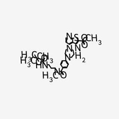 COC(=O)c1sc2nccc(N3CCCN(c4ccc(C(=O)N(C)CCCNC(=O)OC(C)(C)C)cc4)CC3)c2c1N